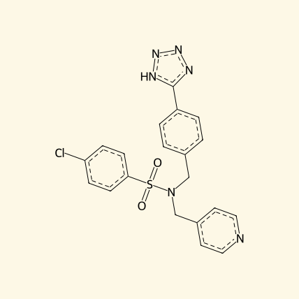 O=S(=O)(c1ccc(Cl)cc1)N(Cc1ccncc1)Cc1ccc(-c2nnn[nH]2)cc1